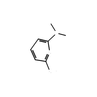 CC(=O)Nc1cccc(P(C)C)n1